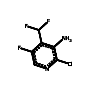 Nc1c(Cl)ncc(F)c1C(F)F